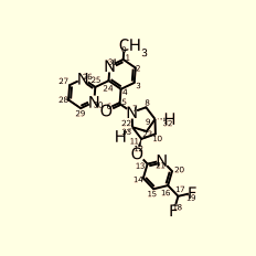 Cc1ccc(C(=O)N2C[C@H]3C[C@@H](Oc4ccc(C(F)F)cn4)[C@@H]2C3)c(-c2ncccn2)n1